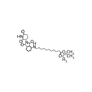 CC(C)(C)OC(=O)CCCCCCCCCCNc1cccc2c1C(=O)N(C1CCC(=O)NC1=O)C2=O